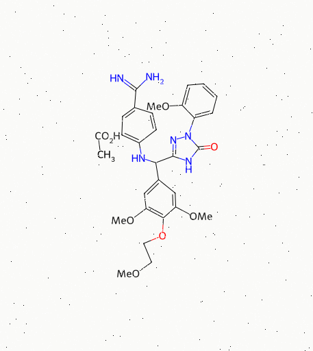 CC(=O)O.COCCOc1c(OC)cc(C(Nc2ccc(C(=N)N)cc2)c2nn(-c3ccccc3OC)c(=O)[nH]2)cc1OC